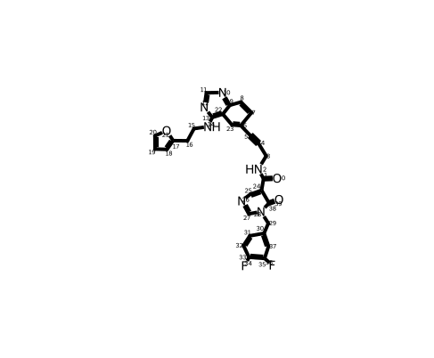 O=C(NCC#Cc1ccc2ncnc(NCCc3ccco3)c2c1)c1cncn(Cc2ccc(F)c(F)c2)c1=O